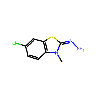 Cn1c(=NN)sc2cc(Cl)ccc21